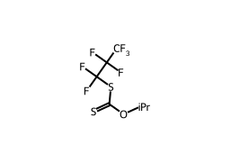 CC(C)OC(=S)SC(F)(F)C(F)(F)C(F)(F)F